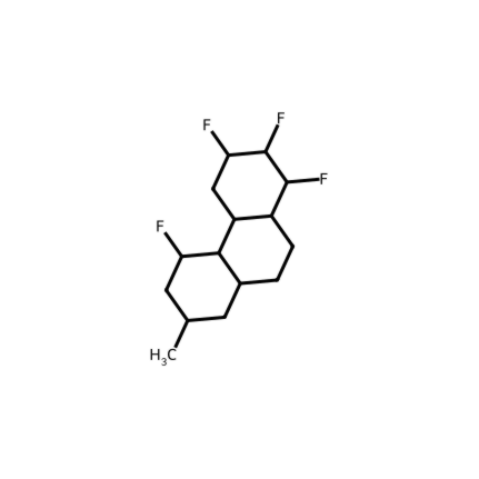 CC1CC(F)C2C(CCC3C(F)C(F)C(F)CC32)C1